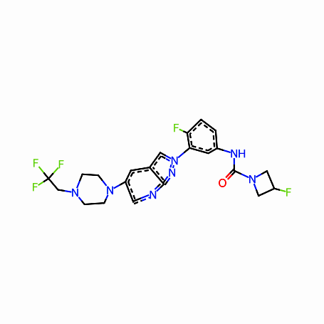 O=C(Nc1ccc(F)c(-n2cc3cc(N4CCN(CC(F)(F)F)CC4)cnc3n2)c1)N1CC(F)C1